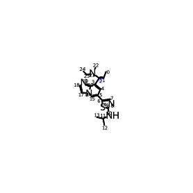 C/C=C(/c1cc(-c2cnc(NC(C)C)s2)cn2ccnc12)N(C)CC